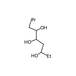 CCC(O)CC(O)C(O)CC(C)C